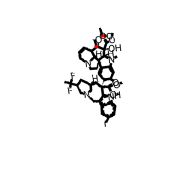 CC[C@]12C=CCN3CC[C@@]4(C5=CC([C@@]6(C(=O)OC)C[C@H]7CC(C(C)(F)F)CN(Cc8c6[nH]c6ccc(I)cc86)C7)C(OC)C=C5N(C)[C@H]4[C@@](O)(C(=O)OC)[C@@H]1OC(C)=O)[C@@H]32